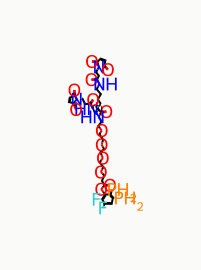 O=C(CCN1C(=O)C=CC1=O)NCCCC[C@H](NC(=O)CCN1C(=O)C=CC1=O)C(=O)NCCOCCOCCOCCOCCC(=O)Oc1c(F)c(F)cc(P)c1P